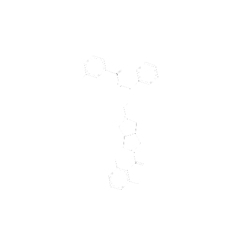 O=C(N[C@@H](CCN1CC2CN(C(=O)c3c(F)cccc3Cl)CC2C1)c1ccccc1)c1cccc(F)c1